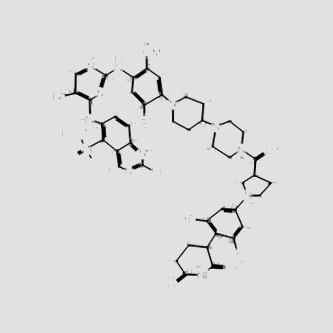 CCc1ncc2c(P(C)(C)=O)c(Nc3nc(Nc4cc(CC)c(N5CCC(N6CCN(C(=O)C7CCN(c8cc(F)c(C9CCC(=O)NC9=O)c(F)c8)C7)CC6)CC5)cc4OC)ncc3Br)ccc2n1